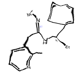 CC[C@@H](N/C(Cc1cccnc1C)=N/C#N)c1ccccc1